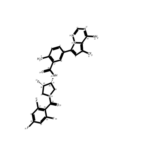 Cc1ccc(-c2cc(C(F)(F)F)c3c(N)ncnn23)cc1C(=O)N[C@@H]1CN(C(=O)c2c(F)cc(F)cc2F)C[C@@H]1F